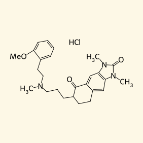 COc1ccccc1CCN(C)CCCC1CCc2cc3c(cc2C1=O)n(C)c(=O)n3C.Cl